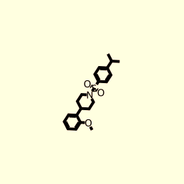 COc1ccccc1C1CCN(S(=O)(=O)c2ccc(C(C)C)cc2)CC1